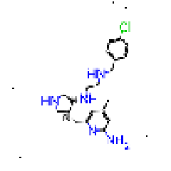 Cc1cc(N)nc(C[C@@H]2CNC[C@@H]2NCCNCc2ccc(Cl)cc2)c1